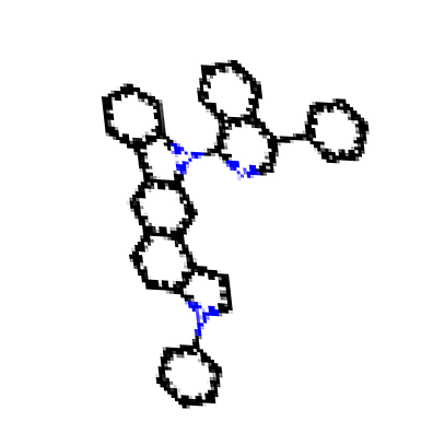 c1ccc(-c2cnc(-n3c4ccccc4c4cc5ccc6c(ccn6-c6ccccc6)c5cc43)c3ccccc23)cc1